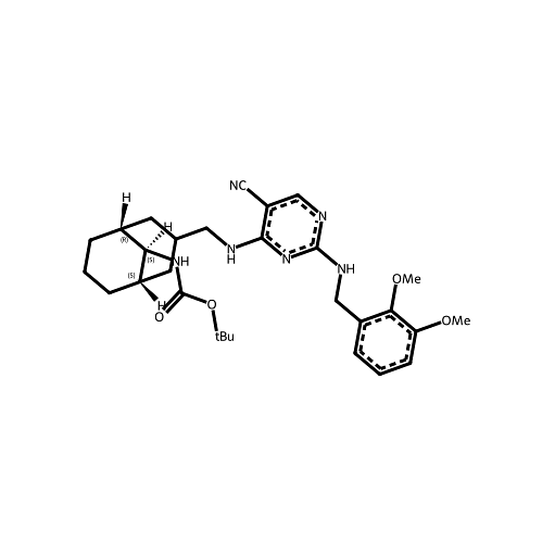 COc1cccc(CNc2ncc(C#N)c(NCC3C[C@H]4CCC[C@@H](C3)[C@@H]4NC(=O)OC(C)(C)C)n2)c1OC